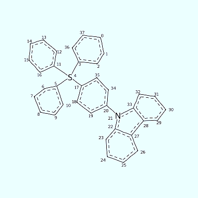 c1ccc(S(c2ccccc2)(c2ccccc2)c2ccc(-n3c4ccccc4c4ccccc43)cc2)cc1